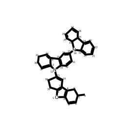 CC1C=Cc2oc3c(c2C1)C=C(n1c2c(c4cc(N5c6ccccc6C6C=CC=CC65)ccc41)=CCCC=2)CC3